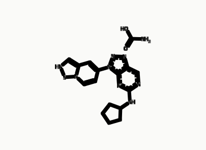 C1=CN2SNC=C2C=C1n1nnc2cnc(NC3CCCC3)nc21.NC(=O)O